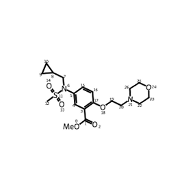 COC(=O)c1cc(N(CC2CC2)S(C)(=O)=O)ccc1OCCN1CCOCC1